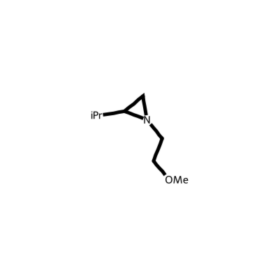 COCCN1CC1C(C)C